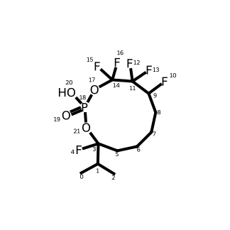 CC(C)C1(F)CCCCC(F)C(F)(F)C(F)(F)OP(=O)(O)O1